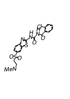 CNCCS(=O)(=O)c1ccc2nc(NC(=O)NC(=O)c3ccccc3Cl)sc2c1